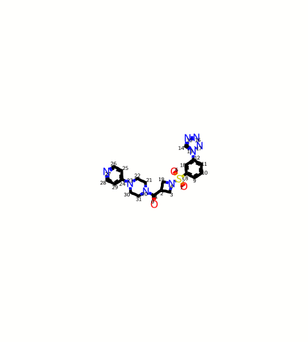 O=C(C1CN(S(=O)(=O)c2cccc(-n3cnnn3)c2)C1)N1CCN(c2ccncc2)CC1